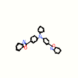 C1=C=C(N(c2ccccc2)c2ccc(-c3nc4ccccc4o3)cc2)C=CC=1c1nc2ccccc2o1